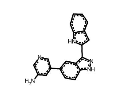 Nc1cncc(-c2ccc3[nH]nc(-c4cc5ccccc5[nH]4)c3c2)c1